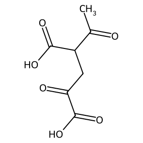 CC(=O)C(CC(=O)C(=O)O)C(=O)O